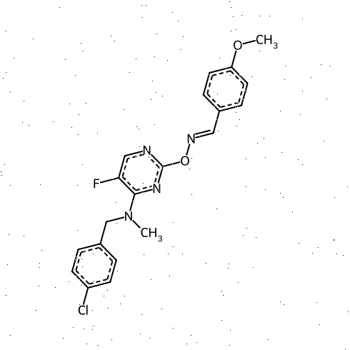 COc1ccc(C=NOc2ncc(F)c(N(C)Cc3ccc(Cl)cc3)n2)cc1